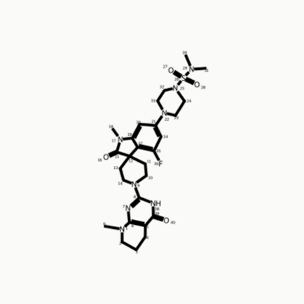 CN1CCCc2c1nc(N1CCC3(CC1)C(=O)N(C)c1cc(N4CCN(S(=O)(=O)N(C)C)CC4)cc(F)c13)[nH]c2=O